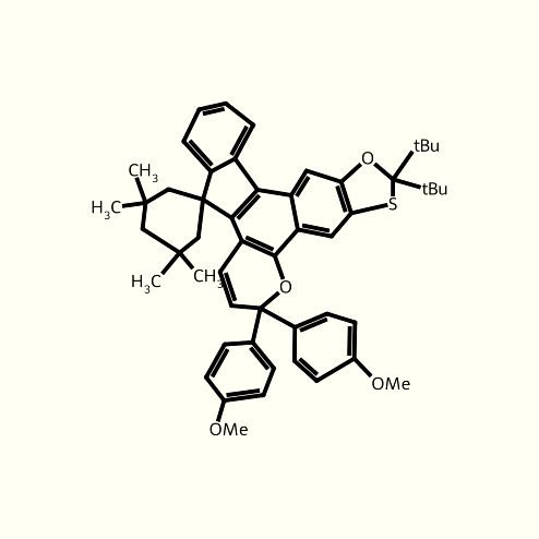 COc1ccc(C2(c3ccc(OC)cc3)C=Cc3c4c(c5cc6c(cc5c3O2)SC(C(C)(C)C)(C(C)(C)C)O6)-c2ccccc2C42CC(C)(C)CC(C)(C)C2)cc1